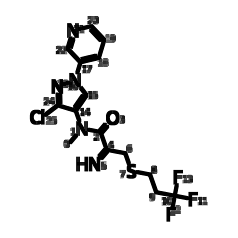 CN(C(=O)C(=N)CSCCC(F)(F)F)c1cn(-c2cccnc2)nc1Cl